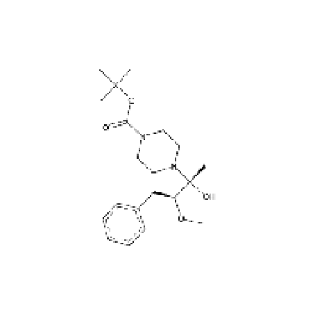 CO[C@@H](Cc1ccccc1)[C@@](C)(O)N1CCN(C(=O)OC(C)(C)C)CC1